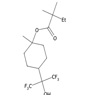 CCC(C)(C)C(=O)OC1(C)CCC(C(O)(C(F)(F)F)C(F)(F)F)CC1